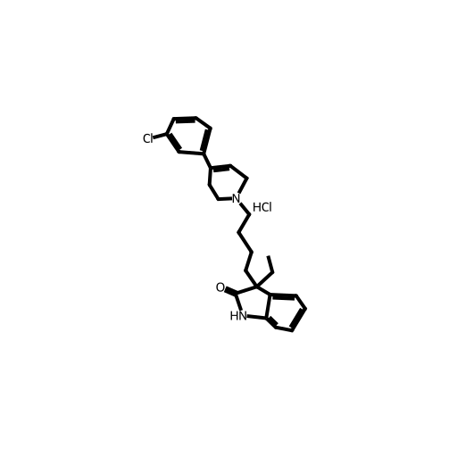 CCC1(CCCCN2CC=C(c3cccc(Cl)c3)CC2)C(=O)Nc2ccccc21.Cl